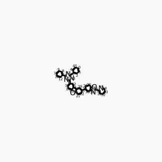 c1ccc(-c2nc(-c3ccccc3)nc(-c3ccc4oc5ccc(-c6ccc7oc(-c8ccccn8)nc7c6)cc5c4c3)n2)cc1